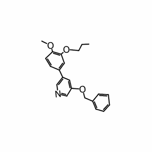 CCCOc1cc(-c2cncc(OCc3ccccc3)c2)ccc1OC